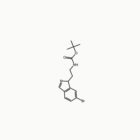 CC(C)(C)OC(=O)NCCC1N=Cc2ccc(Br)cc21